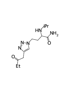 CCC(=O)Cc1cn(CCC(NC(C)C)C(N)=O)nn1